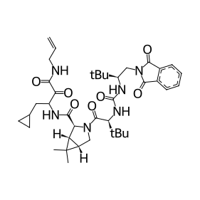 C=CCNC(=O)C(=O)C(CC1CC1)NC(=O)[C@@H]1[C@@H]2[C@H](CN1C(=O)[C@@H](NC(=O)N[C@H](CN1C(=O)c3ccccc3C1=O)C(C)(C)C)C(C)(C)C)C2(C)C